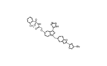 Cc1ccccc1S(=O)(=O)NC(=O)COc1ccc2c(c1)c(-c1nnn[nH]1)cn2Cc1ccc2oc(-c3nc(C(C)(C)C)cs3)cc2c1